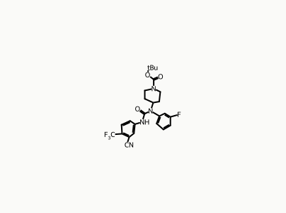 CC(C)(C)OC(=O)N1CCC(N(C(=O)Nc2ccc(C(F)(F)F)c(C#N)c2)c2cccc(F)c2)CC1